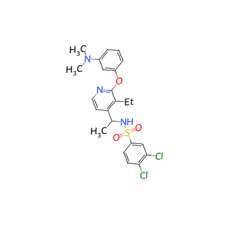 CCc1c(C(C)NS(=O)(=O)c2ccc(Cl)c(Cl)c2)ccnc1Oc1cccc(N(C)C)c1